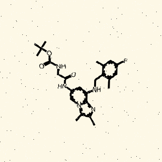 Cc1cc(F)cc(C)c1CNc1cc(NC(=O)CNC(=O)OC(C)(C)C)cn2c(C)c(C)nc12